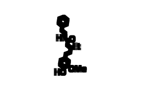 CCC(CCc1ccc(O)c(OC)c1)CC(=O)NCCc1ccccc1